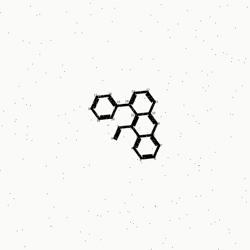 C=Cc1c2ccccc2cc2cccc(-c3ccccc3)c12